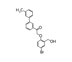 Cc1cccc(-c2cccc(C(=O)COc3ccc(Br)cc3CO)c2)c1